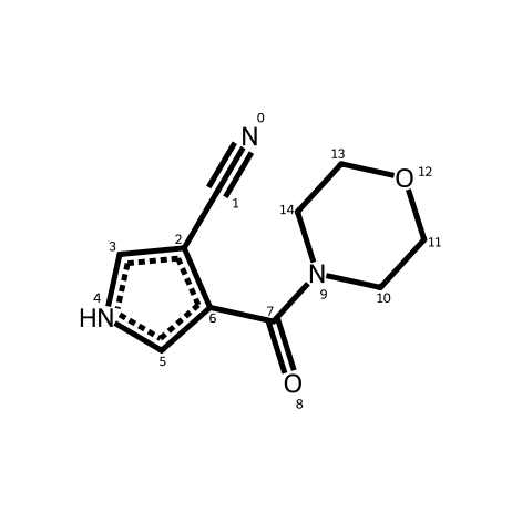 N#Cc1c[nH]cc1C(=O)N1CCOCC1